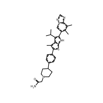 Cc1c(-c2[nH]c3sc(-c4ccc(C5CCN(CC(N)=O)CC5)cc4)c(C)c3c2C(C)C)cn2ncnc2c1C